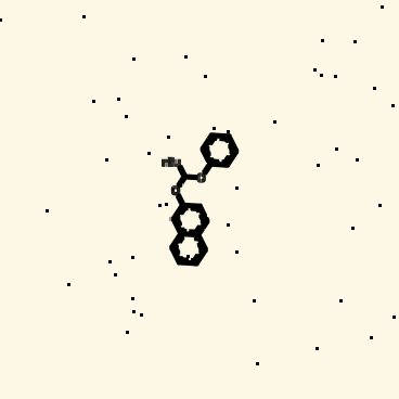 CCCCC(Oc1[c]c2ccccc2cc1)Oc1ccccc1